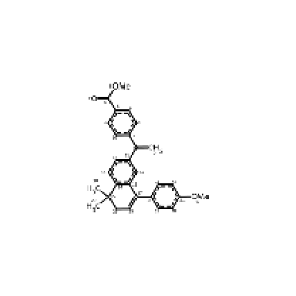 C=C(c1ccc(C(=O)OC)cc1)c1ccc2c(c1)C(c1ccc(OC)cc1)=CCC2(C)C